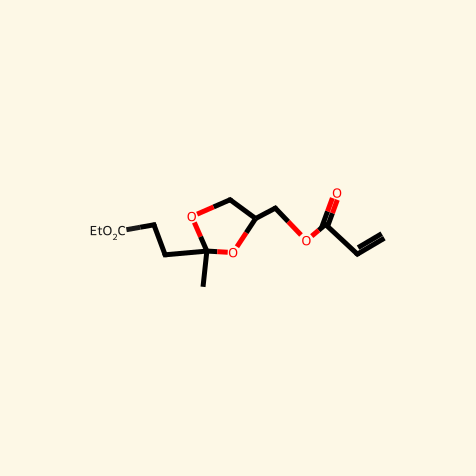 C=CC(=O)OCC1COC(C)(CCC(=O)OCC)O1